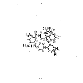 C#C/C=C(\C(C#N)=C/C)N1CCC(Nc2cc(C(=O)N3CCN(c4cc(F)c(F)cc4S(N)(=O)=O)CC3)c(C)cc2C)CC1